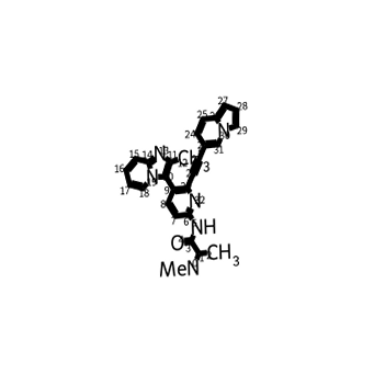 CNC(C)C(=O)Nc1ccc(-c2c(C)nc3ccccn23)c(C#Cc2ccc3cccn3c2)n1